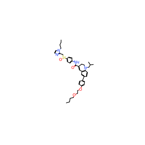 CCCCOCCOc1ccc(-c2ccc3c(c2)C=C(C(=O)Nc2ccc([S+]([O-])Cc4nccn4CCCC)cc2)CCN3CC(C)C)cc1